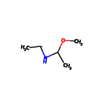 C[CH]NC(C)OC